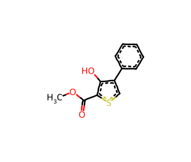 COC(=O)c1scc(-c2ccccc2)c1O